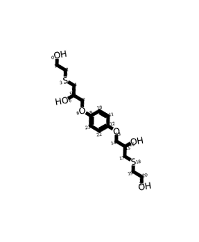 OCCSCC(O)COc1ccc(OCC(O)CSCCO)cc1